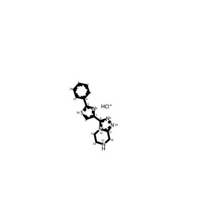 Cl.c1ccc(-c2nc(-c3nnc4n3CCNC4)cs2)cc1